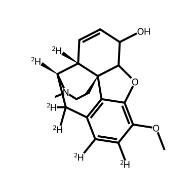 [2H]c1c([2H])c2c3c(c1OC)OC1C(O)C=C[C@]4([2H])[C@@]31CCN(C)[C@]4([2H])C2([2H])[2H]